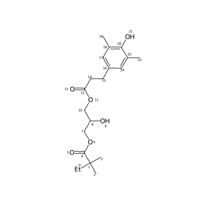 CCC(C)(C)C(=O)OCC(O)COC(=O)CCc1cc(C)c(O)c(C)c1